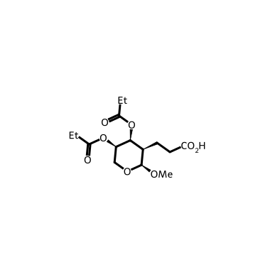 CCC(=O)O[C@H]1[C@@H](CCC(=O)O)[C@@H](OC)OC[C@H]1OC(=O)CC